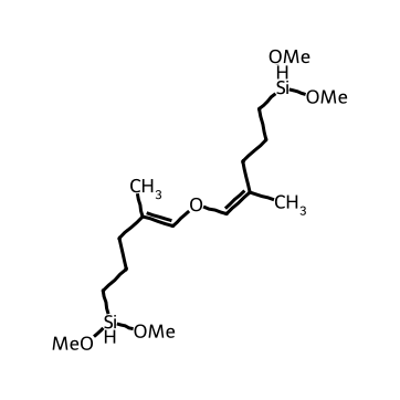 CO[SiH](CCCC(C)=COC=C(C)CCC[SiH](OC)OC)OC